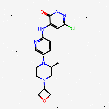 C[C@H]1CN(C2COC2)CCN1c1ccc(Nc2cc(Cl)n[nH]c2=O)nc1